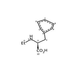 CCN[C@@H](Cc1ccccc1)C(=O)O